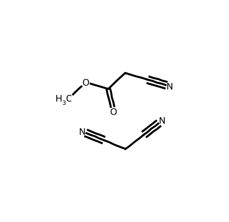 COC(=O)CC#N.N#CCC#N